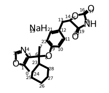 Cc1ocnc1C(C)(Oc1ccc(CC2OC(=O)NC2=O)cc1)C1CCCCC1.[NaH]